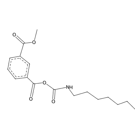 CCCCCCCNC(=O)OC(=O)c1cccc(C(=O)OC)c1